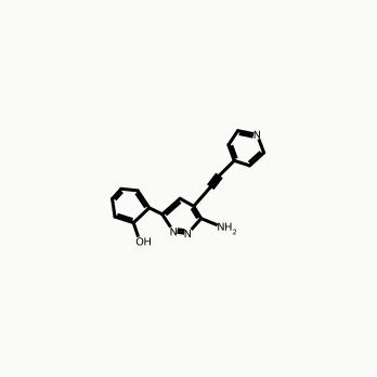 Nc1nnc(-c2ccccc2O)cc1C#Cc1ccncc1